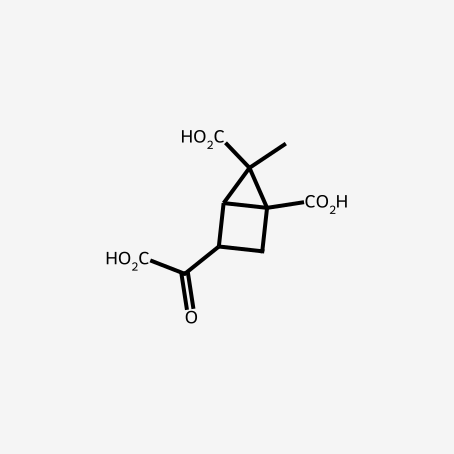 CC1(C(=O)O)C2C(C(=O)C(=O)O)CC21C(=O)O